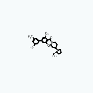 Cc1cc(-c2cc(C(F)(F)F)cc(C(F)(F)F)c2)cc(C)c1C(=O)N1CCC(N2CCC[C@H]2CO)CC1